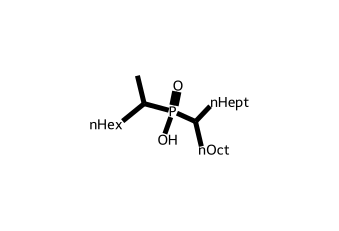 CCCCCCCCC(CCCCCCC)P(=O)(O)C(C)CCCCCC